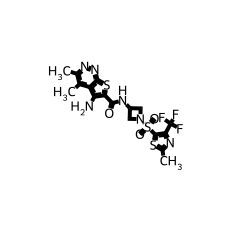 Cc1nc(C(F)(F)F)c(S(=O)(=O)N2CC(NC(=O)c3sc4nnc(C)c(C)c4c3N)C2)s1